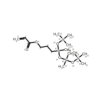 C=CC(=O)OCCC[Si](C)(O[Si](C)(C)C)O[Si](C)(C)O[Si](C)(C)C